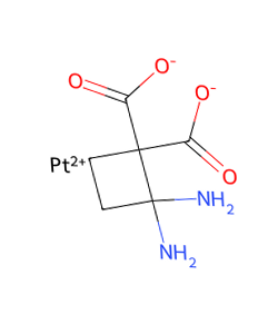 NC1(N)CCC1(C(=O)[O-])C(=O)[O-].[Pt+2]